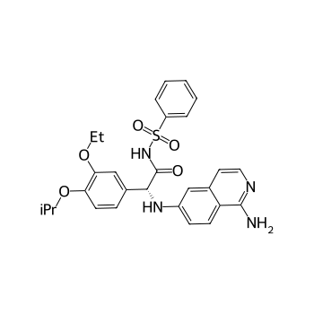 CCOc1cc([C@@H](Nc2ccc3c(N)nccc3c2)C(=O)NS(=O)(=O)c2ccccc2)ccc1OC(C)C